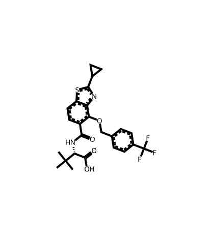 CC(C)(C)[C@H](NC(=O)c1ccc2sc(C3CC3)nc2c1OCc1ccc(C(F)(F)F)cc1)C(=O)O